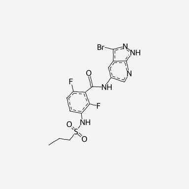 CCCS(=O)(=O)Nc1ccc(F)c(C(=O)Nc2cnc3[nH]nc(Br)c3c2)c1F